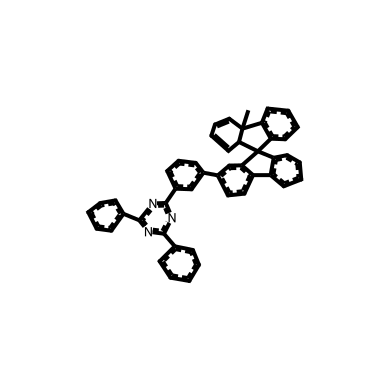 CC12C=CC=CC1C1(c3ccccc3-c3ccc(-c4cccc(-c5nc(-c6ccccc6)nc(-c6ccccc6)n5)c4)cc31)c1ccccc12